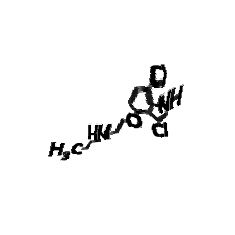 CCCCNCCOc1ccc(Cl)c2[nH]cc(Cl)c12